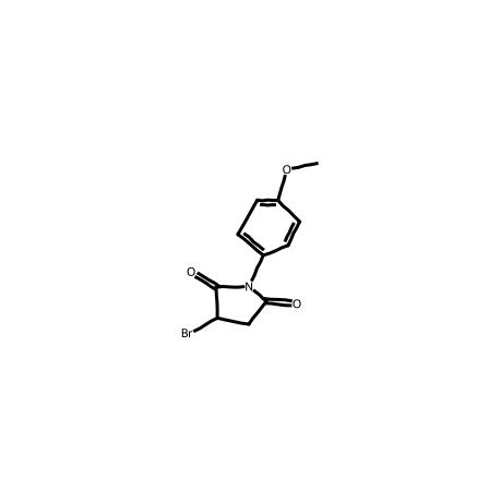 COc1ccc(N2C(=O)CC(Br)C2=O)cc1